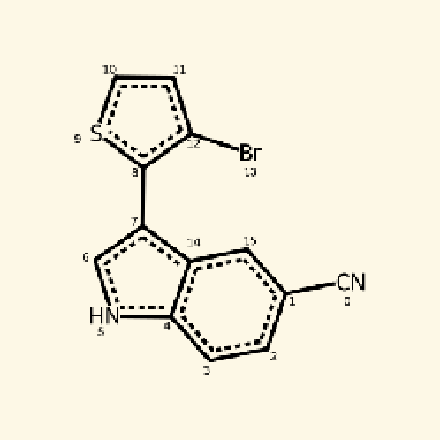 N#Cc1ccc2[nH]cc(-c3sccc3Br)c2c1